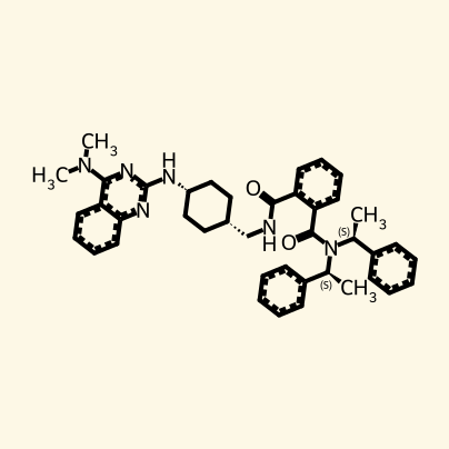 C[C@@H](c1ccccc1)N(C(=O)c1ccccc1C(=O)NC[C@H]1CC[C@@H](Nc2nc(N(C)C)c3ccccc3n2)CC1)[C@@H](C)c1ccccc1